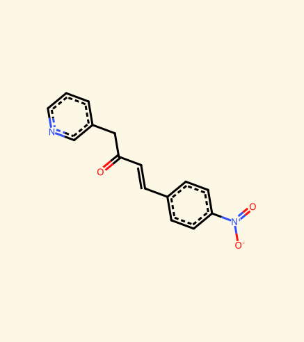 O=C(C=Cc1ccc([N+](=O)[O-])cc1)Cc1cccnc1